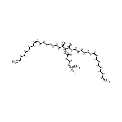 CCCCCCCC/C=C\CCCCCCCC(=O)C(OC(=O)CCCN(C)C)C(=O)CCCCCCC/C=C\CCCCCCCC